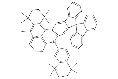 Cc1ccc(-c2cc3c(cc2N(c2ccccc2)c2ccc4c(c2)C(C)(C)CCC4(C)C)C2(c4ccccc4-c4ccccc42)c2ccccc2-3)c2c1C(C)(C)CCC2(C)C